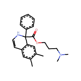 Cc1cc2c(cc1C)C(C(=O)OCCCN(C)C)(c1ccccc1)NC=C2